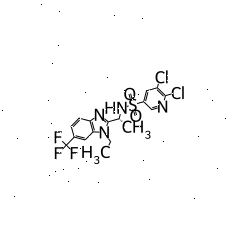 CCn1c([C@@H](C)NS(=O)(=O)c2cnc(Cl)c(Cl)c2)nc2ccc(C(F)(F)F)cc21